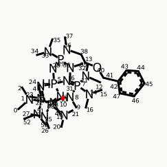 CN(C)P(=N[PH](N=P(N(C)C)(N(C)C)N(C)C)(N=P(N(C)C)(N(C)C)N(C)C)N=P(N(C)C)(N(C)C)N(C)CCOCc1ccccc1)(N(C)C)N(C)C